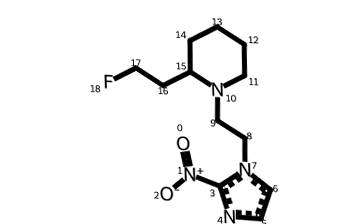 O=[N+]([O-])c1nccn1CCN1CCCCC1CCF